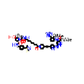 CNC(=O)c1nnc(Nc2ccc(C#CC3CCN(C(=O)CCCCCCCC(=O)N[C@H](C(=O)N4C[C@H](O)C[C@H]4C(=O)N[C@@H](C)c4ccc(-c5scnc5C)cc4)C(C)(C)C)CC3)cn2)cc1Nc1cccc(-c2ncn(C)n2)c1OC